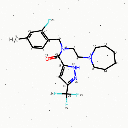 Cc1ccc(CN(CCN2CCCCCC2)C(=O)c2cc(C(F)(F)F)n[nH]2)c(F)c1